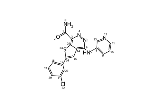 NC(=O)c1nnc(Nc2cccnc2)c2cc(-c3cccc(Cl)c3)sc12